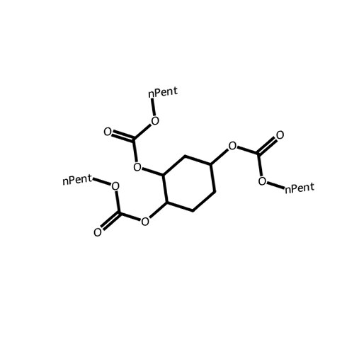 CCCCCOC(=O)OC1CCC(OC(=O)OCCCCC)C(OC(=O)OCCCCC)C1